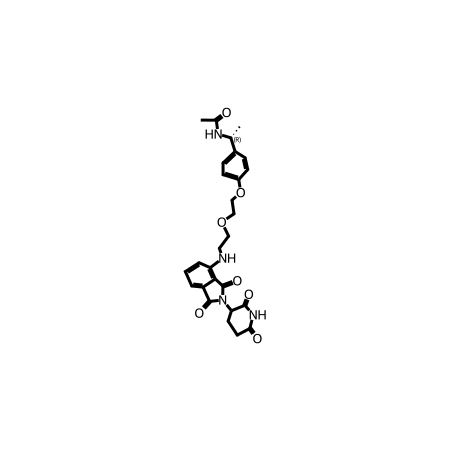 CC(=O)N[C@H](C)c1ccc(OCCOCCNc2cccc3c2C(=O)N(C2CCC(=O)NC2=O)C3=O)cc1